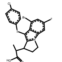 CC(C(=O)O)C1CCn2c1c(Sc1ccc(Cl)cc1)c1c(Br)cc(F)cc12